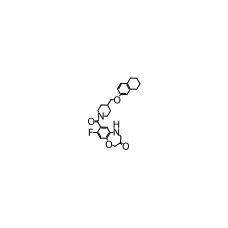 O=C1CNc2cc(C(=O)N3CCC(COc4ccc5c(c4)CCCC5)CC3)c(F)cc2OC1